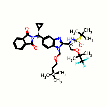 CC(C)(C)[S@@+]([O-])N[C@@H](COC(C)(C)C(F)(F)F)c1nc2cc([C@@H](C3CC3)N3C(=O)c4ccccc4C3=O)ccc2n1COCC[Si](C)(C)C